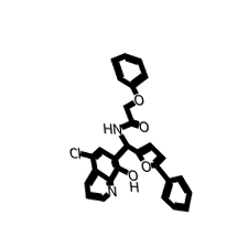 O=C(COc1ccccc1)NC(c1ccc(-c2ccccc2)o1)c1cc(Cl)c2cccnc2c1O